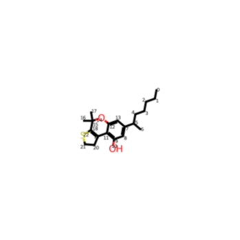 CCCCCC(C)c1cc(O)c2c(c1)OC(C)(C)C1=C2CCS1